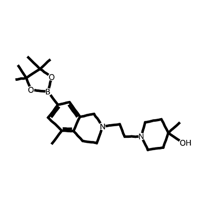 Cc1cc(B2OC(C)(C)C(C)(C)O2)cc2c1CCN(CCN1CCC(C)(O)CC1)C2